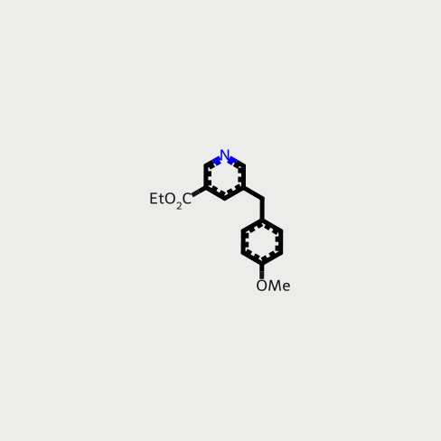 CCOC(=O)c1cncc(Cc2ccc(OC)cc2)c1